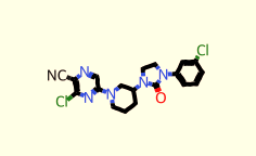 N#Cc1ncc(N2CCCC(N3CCN(c4cccc(Cl)c4)C3=O)C2)nc1Cl